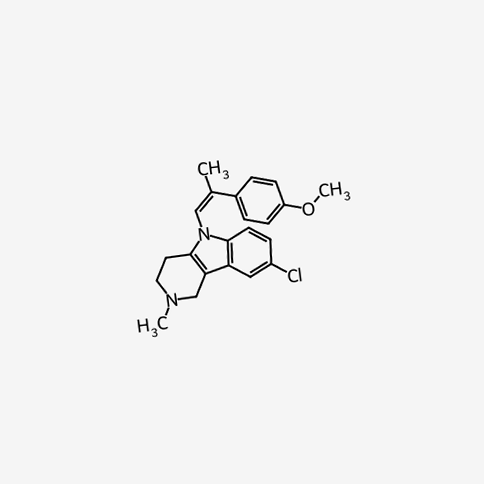 COc1ccc(/C(C)=C\n2c3c(c4cc(Cl)ccc42)CN(C)CC3)cc1